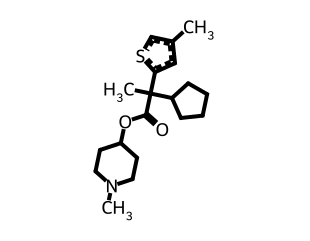 Cc1csc(C(C)(C(=O)OC2CCN(C)CC2)C2CCCC2)c1